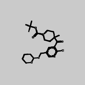 CC(C)(C)OC(=O)N1CCC(C)(C(=O)c2cc(COC3CCCCO3)cnc2Cl)CC1